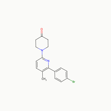 Cc1ccc(N2CCC(=O)CC2)nc1-c1ccc(Br)cc1